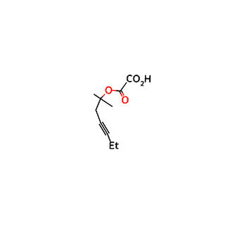 CCC#CCC(C)(C)OC(=O)C(=O)O